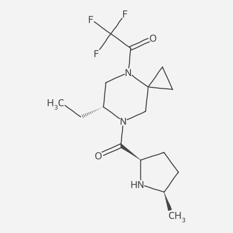 CC[C@@H]1CN(C(=O)C(F)(F)F)C2(CC2)CN1C(=O)[C@H]1CC[C@@H](C)N1